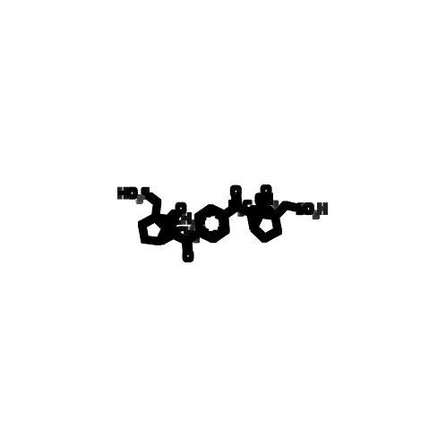 CC1(C)C2CCC1(CS(=O)(=O)O)C(=O)C2C(=O)c1ccc(C(=O)C2C(=O)C3(CS(=O)(=O)O)CCC2C3(C)C)cc1